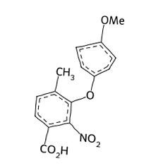 COc1ccc(Oc2c(C)ccc(C(=O)O)c2[N+](=O)[O-])cc1